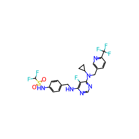 O=S(=O)(Nc1ccc(CNc2ncnc(N(Cc3ccc(C(F)(F)F)nc3)C3CC3)c2F)cc1)C(F)F